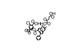 Cc1cc2cc(-c3ccccc3)c3c(C(=O)O)cc(n1)n23.O=C(O)CCC(=O)C(=O)O.O=C(O)c1ccc([N+](=O)[O-])cc1Cl